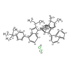 CC1=C2c3c(cc(C4C(C(C)C)=Cc5c(-c6ccc(C(C)(C)C)cc6)cccc54)c(c3-c3cccc4ccccc34)[Si]2(C)C)[CH]1[Zr+2].[Cl-].[Cl-]